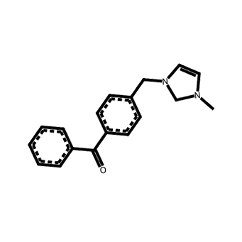 CN1C=CN(Cc2ccc(C(=O)c3ccccc3)cc2)C1